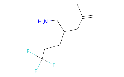 C=C(C)CC(CN)CCC(F)(F)F